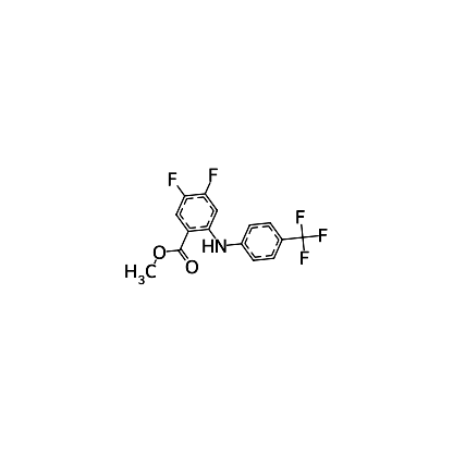 COC(=O)c1cc(F)c(F)cc1Nc1ccc(C(F)(F)F)cc1